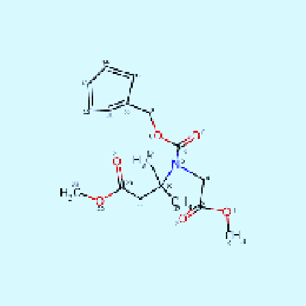 COC(=O)CN(C(=O)OCc1ccccc1)C(C)(C)CC(=O)OC